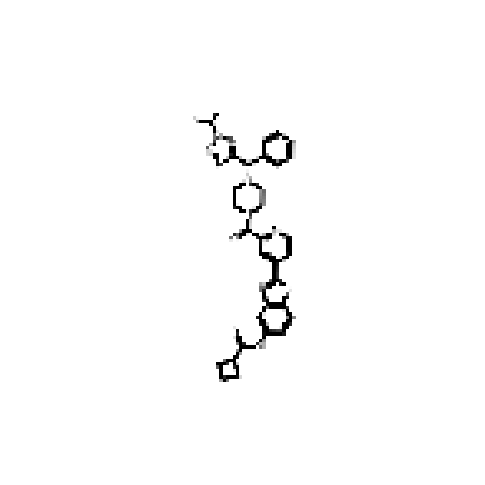 O=C(Nc1ccc2oc(-c3ccnc(C(=O)N4CCN([C@@H](c5ccccc5)c5nnn(C(F)F)n5)CC4)c3)nc2c1)C1CCC1